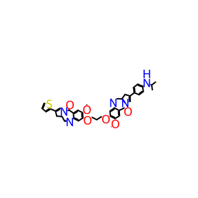 COc1cc2c(cc1OCCCOc1cc3c(cc1OC)C(=O)N1C=C(c4cccs4)CC1C=N3)N=CC1CC(c3ccc(NC(C)C)cc3)=CN1C2=O